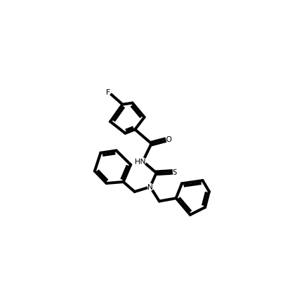 O=C(NC(=S)N(Cc1ccccc1)Cc1ccccc1)c1ccc(F)cc1